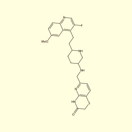 COc1ccc2ncc(F)c(CCC3CCC(NCc4ccc5c(n4)NC(=O)CS5)CN3)c2c1